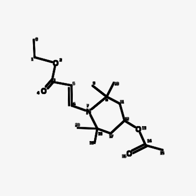 CCOC(=O)/C=C/N1C(C)(C)CC(OC(C)=O)CC1(C)C